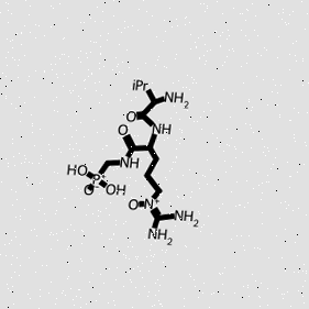 CC(C)C(N)C(=O)NC(CCC[N+]([O-])=C(N)N)C(=O)NC[P+]([O-])(O)O